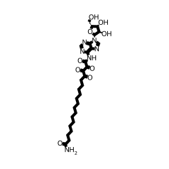 NC(=O)CCCCCCCCCCCCCCC(=O)C(=O)C(=O)C(=O)Nc1ncnc2c1ncn2[C@@H]1O[C@H](CO)[C@@H](O)[C@H]1O